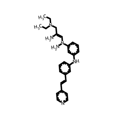 CCN(CC)C/C(N)=C/N(N)c1cccc(Nc2cccc(/C=C/c3ccncc3)c2)c1